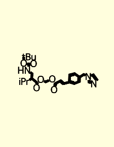 CC(C)C(CNC(=O)OC(C)(C)C)C(=O)OCOC(=O)/C=C/c1ccc(Cn2ccnc2)cc1